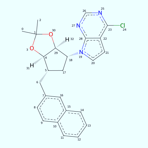 CC1(C)O[C@@H]2[C@@H](Cc3ccc4ccccc4c3)C[C@@H](n3ccc4c(Cl)ncnc43)[C@@H]2O1